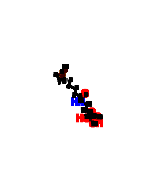 O=C(CCCC[C@@H]1CCS1=S)NCCOP(=O)(O)O